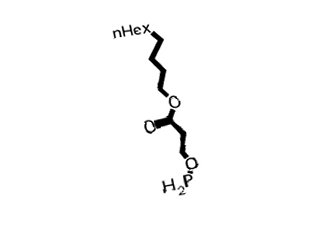 CCCCCCCCCCOC(=O)CCOP